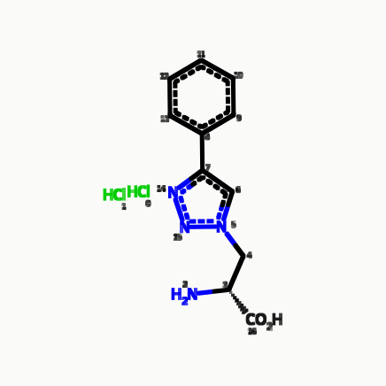 Cl.Cl.N[C@H](Cn1cc(-c2ccccc2)nn1)C(=O)O